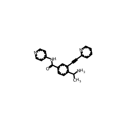 CC(N)c1ccc(C(=O)Nc2ccncc2)cc1C#Cc1ccccn1